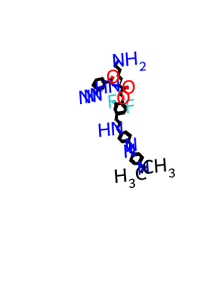 CN(C)c1ccc(/N=N/c2ccc(NCCc3cc(F)c(OCC(=O)[C@H](CCCCN)NC(=O)c4cccc(N=[N+]=[N-])c4)c(F)c3)cc2)cc1